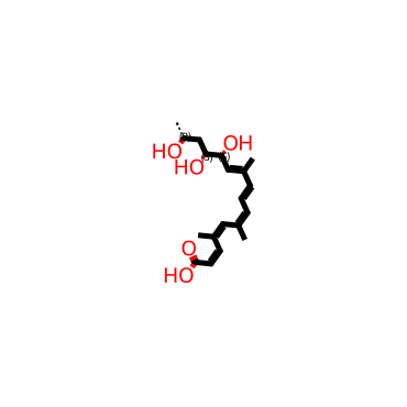 CC(=CC=CC(C)=C[C@H](O)[C@@H](O)C[C@@H](C)O)C=C(C)C=CC(=O)O